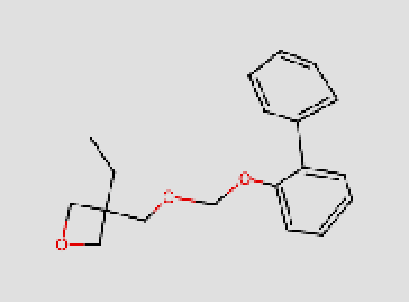 CCC1(COCOc2ccccc2-c2ccccc2)COC1